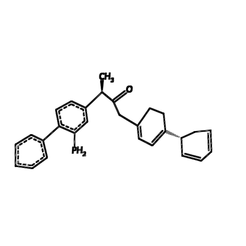 C[C@@H](C(=O)CC1=CC=C([C@H]2C=CC=CC2)CC1)c1ccc(-c2ccccc2)c(P)c1